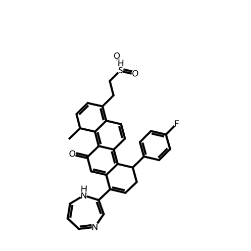 CC1C=CC(CC[SH](=O)=O)=c2ccc3c(c21)C(=O)C=C1C(C2=CN=CC=CN2)=CCC(c2ccc(F)cc2)C=31